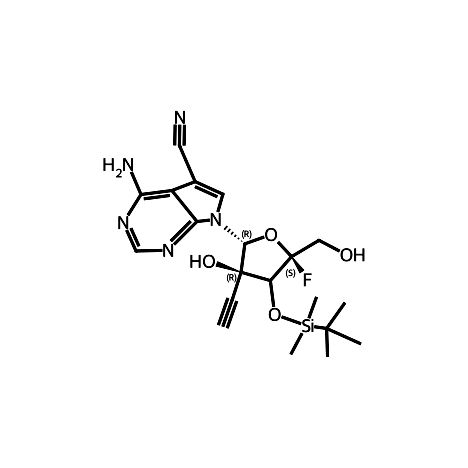 C#C[C@@]1(O)C(O[Si](C)(C)C(C)(C)C)[C@@](F)(CO)O[C@H]1n1cc(C#N)c2c(N)ncnc21